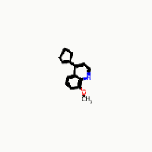 COc1cccc2c(C3=CCCC3)ccnc12